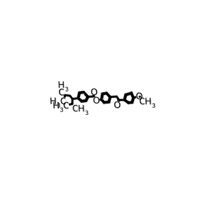 COc1ccc(C(=O)Cc2ccc(OC(=O)c3ccc(C(CC(C)C)C(C)C)cc3)cc2)cc1